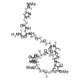 CNN(C)Cc1cn(CCC(=O)N[C@@H](CC(N)=O)C(=O)NCCOCCOCCC(=O)N(C)[C@@H](C)C(=O)O[C@H]2CC(=O)N(C)c3cc(cc(OC)c3Cl)C/C(C)=C/C=C/[C@@H](OC)[C@@]3(O)C[C@H](OC(=O)N3)[C@@H](C)C3O[C@]32C)cn1